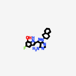 Nc1ncnc2c1c(-c1cc3cc(F)cc(O)c3[nH]1)nn2C1CCc2ccccc2C1